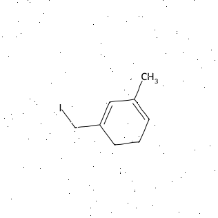 CC1=CCCC(CI)=C1